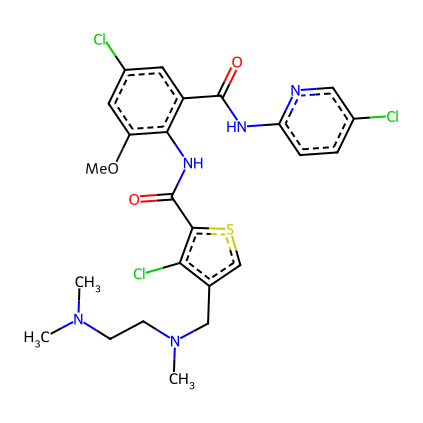 COc1cc(Cl)cc(C(=O)Nc2ccc(Cl)cn2)c1NC(=O)c1scc(CN(C)CCN(C)C)c1Cl